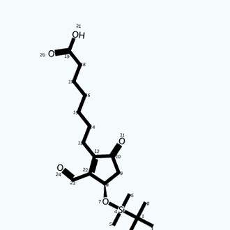 CC(C)(C)[Si](C)(C)O[C@@H]1CC(=O)C(CCCCCCC(=O)O)=C1C=O